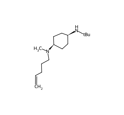 C=CCCCN(C)[C@H]1CC[C@@H](NC(C)(C)C)CC1